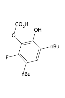 CCCCc1cc(CCCC)c(F)c(OC(=O)O)c1O